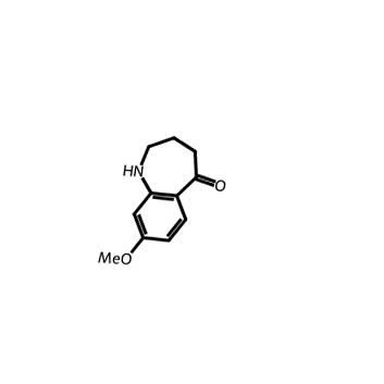 COc1ccc2c(c1)NCCCC2=O